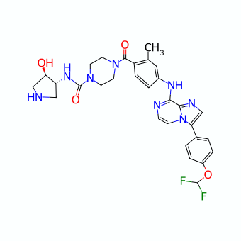 Cc1cc(Nc2nccn3c(-c4ccc(OC(F)F)cc4)cnc23)ccc1C(=O)N1CCN(C(=O)N[C@@H]2CNC[C@H]2O)CC1